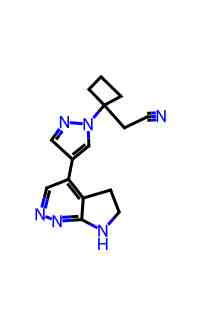 N#CCC1(n2cc(-c3cnnc4c3CCN4)cn2)CCC1